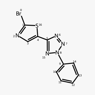 Brc1ncc(-c2nnn(-c3ccccc3)n2)s1